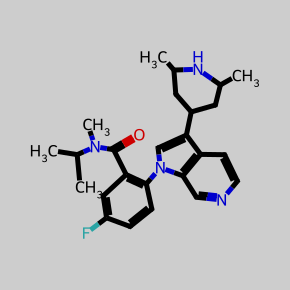 CC1CC(c2cn(-c3ccc(F)cc3C(=O)N(C)C(C)C)c3cnccc23)CC(C)N1